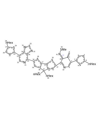 C=C1C(c2ccc(CCCCCC)s2)=CN=C(c2cc3c(s2)-c2sc(-c4ncc(-c5ccc(CCCCCC)s5)c5nsnc45)cc2C3(CCCCCC)CCCCCC)/C1=N/SC